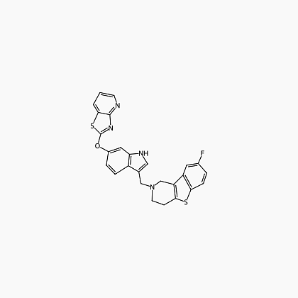 Fc1ccc2sc3c(c2c1)CN(Cc1c[nH]c2cc(Oc4nc5ncccc5s4)ccc12)CC3